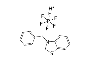 F[P-](F)(F)(F)(F)F.[H+].c1ccc(CN2CSc3ccccc32)cc1